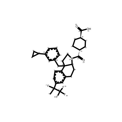 CC(F)(c1ccc2c(c1)CCC1N(C(=O)[C@H]3CC[C@H](C(=O)O)CC3)CCC21Cc1cccc(C2CC2)c1)C(F)(F)F